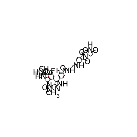 COC(=O)N[C@@H]1CC[C@@H](n2c(=O)n(C)c3cnc4[nH]c(-c5ccc(C(=O)NCCCNc6ccc7c(c6)C(=O)N(C6CCC(=O)NC6=O)C7=O)c(F)c5)c(-c5ccc(OC)c(F)c5)c4c32)C1